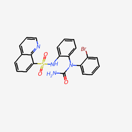 NC(=O)N(c1ccccc1Br)c1ccccc1NS(=O)(=O)c1cccc2cccnc12